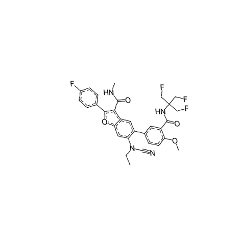 CCN(C#N)c1cc2oc(-c3ccc(F)cc3)c(C(=O)NC)c2cc1-c1ccc(OC)c(C(=O)NC(CF)(CF)CF)c1